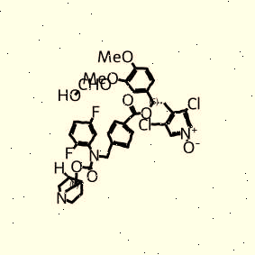 COc1ccc([C@H](Cc2c(Cl)c[n+]([O-])cc2Cl)OC(=O)c2ccc(CN(C(=O)O[C@H]3CN4CCC3CC4)c3cc(F)ccc3F)cc2)cc1OC.O=CO